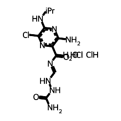 CC(C)Nc1nc(N)c(C(=O)N=CNNC(N)=O)nc1Cl.Cl.Cl.O